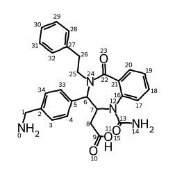 NCc1ccc(C2C(CC(=O)O)N(C(N)=O)c3ccccc3C(=O)N2CCc2ccccc2)cc1